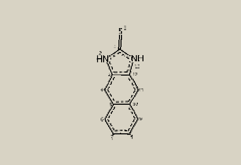 S=c1[nH]c2cc3ccccc3cc2[nH]1